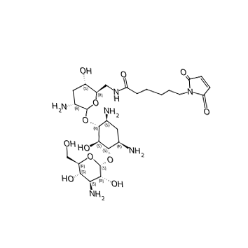 N[C@@H]1[C@@H](O)[C@@H](O[C@@H]2[C@@H](O)[C@H](OC3O[C@H](CNC(=O)CCCCCN4C(=O)C=CC4=O)[C@@H](O)C[C@H]3N)[C@@H](N)C[C@H]2N)O[C@H](CO)[C@H]1O